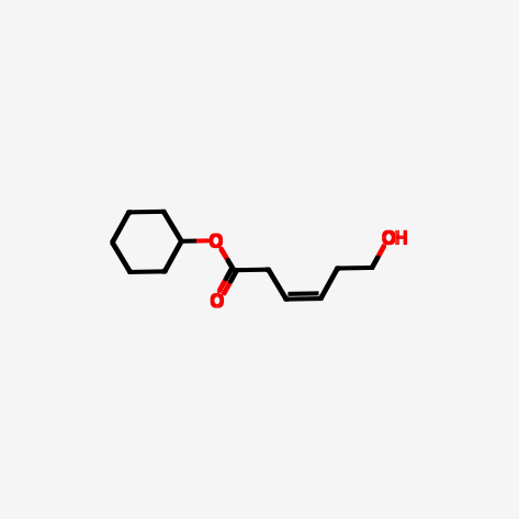 O=C(C/C=C\CCO)OC1CCCCC1